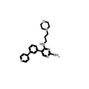 Nc1ncc(-c2cccc(-c3ccncc3)c2)c(NCCCN2CCOCC2)n1